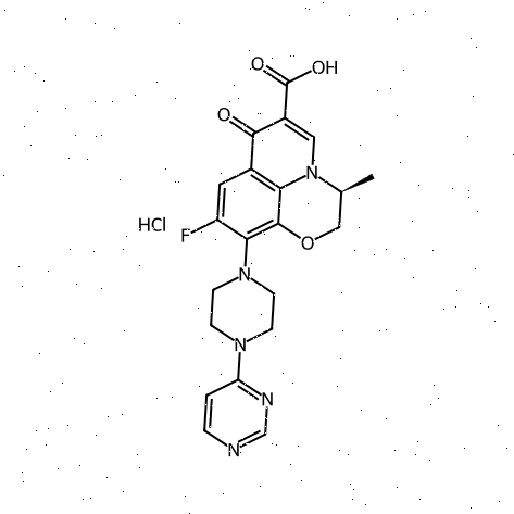 C[C@H]1COc2c(N3CCN(c4ccncn4)CC3)c(F)cc3c(=O)c(C(=O)O)cn1c23.Cl